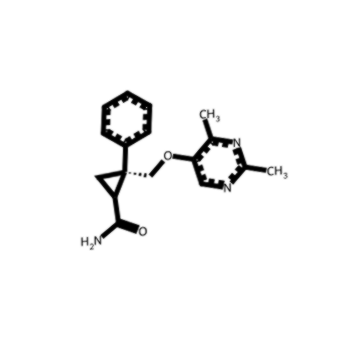 Cc1ncc(OC[C@@]2(c3ccccc3)CC2C(N)=O)c(C)n1